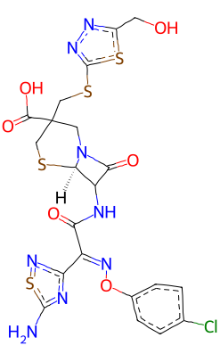 Nc1nc(C(=NOc2ccc(Cl)cc2)C(=O)NC2C(=O)N3CC(CSc4nnc(CO)s4)(C(=O)O)CS[C@H]23)ns1